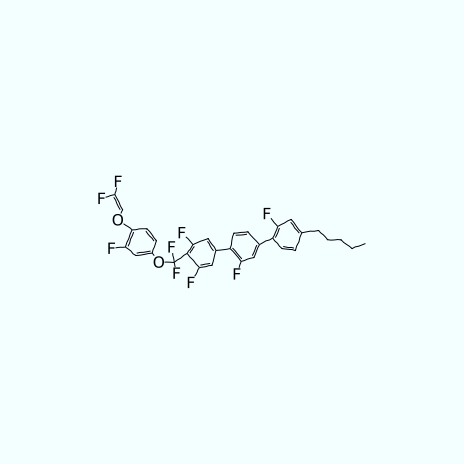 CCCCCc1ccc(-c2ccc(-c3cc(F)c(C(F)(F)Oc4ccc(OC=C(F)F)c(F)c4)c(F)c3)c(F)c2)c(F)c1